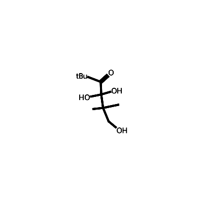 CC(C)(C)C(=O)C(O)(O)C(C)(C)CO